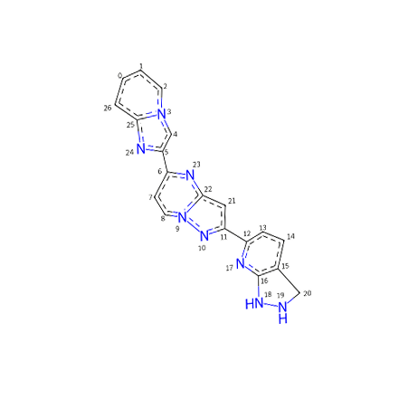 c1ccn2cc(-c3ccn4nc(-c5ccc6c(n5)NNC6)cc4n3)nc2c1